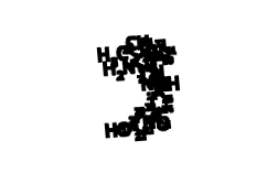 CC(C)c1c(N)c2cnc(NC3CCC(C(=O)N4CCC(O)CC4)CC3)nc2n(C2=CC=C2)c1=O